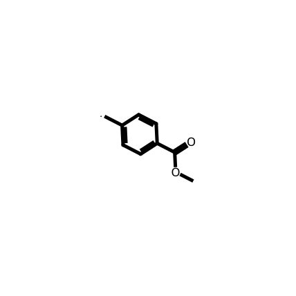 [CH2]c1ccc(C(=O)OC)cc1